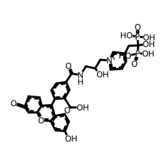 O=C(NCC(O)C[n+]1cccc(CC(O)(P(=O)(O)O)P(=O)(O)O)c1)c1ccc(-c2c3ccc(=O)cc-3oc3cc(O)ccc23)c(C(=O)O)c1